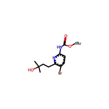 CC(C)(O)CCc1nc(NC(=O)OC(C)(C)C)ccc1Br